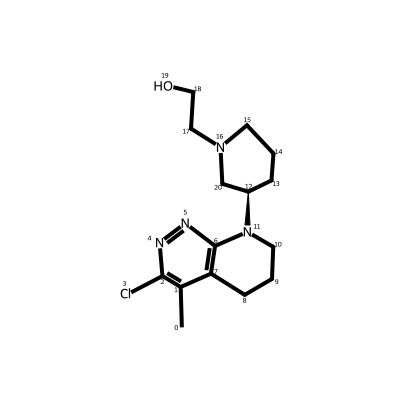 Cc1c(Cl)nnc2c1CCCN2[C@@H]1CCCN(CCO)C1